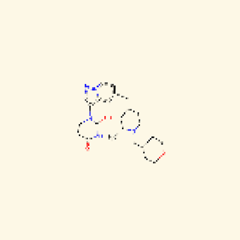 C[C@@H]1C[C@H](Cc2ccn3ncc(N4CCC(=O)NC4O)c3c2)CCN1CC1CCOCC1